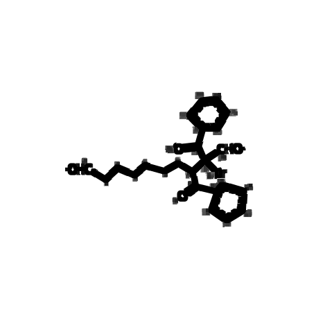 O=[C]CCCCCCC(C(=O)c1ccccc1)C(Br)([C]=O)C(=O)c1ccccc1